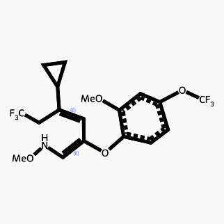 CON/C=C(\C=C(/CC(F)(F)F)C1CC1)Oc1ccc(OC(F)(F)F)cc1OC